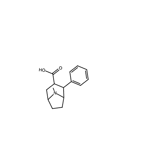 CN1C2CCC1C(c1ccccc1)C(C(=O)O)C2